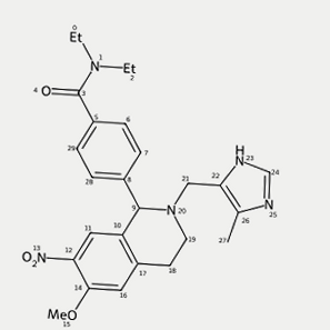 CCN(CC)C(=O)c1ccc(C2c3cc([N+](=O)[O-])c(OC)cc3CCN2Cc2[nH]cnc2C)cc1